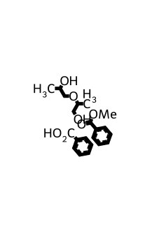 CC(O)COC(C)CO.COC(=O)c1ccccc1.O=C(O)c1ccccc1